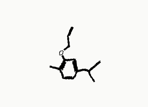 C=CCOc1cc(C(C)C)ccc1C